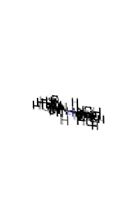 O=[PH](S)O[C@H]1[C@@H](O)[C@H](n2cnc3c(NC/C=C/CNc4ncnc5c4ncn5C4O[C@H](CO)[C@@H](O)[C@H]4O[PH](=O)S)ncnc32)O[C@@H]1CO